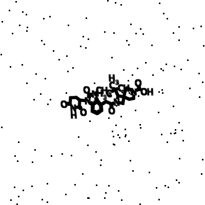 Cn1c(=O)n(C2CCC(=O)NC2=O)c2cccc(CC(=O)N3CC4(CCN(C(=O)O)CC4)C3C(C)(C)C)c21